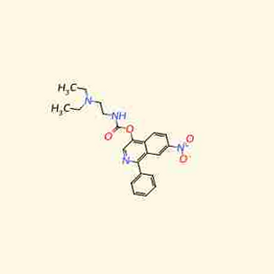 CCN(CC)CCNC(=O)Oc1cnc(-c2ccccc2)c2cc([N+](=O)[O-])ccc12